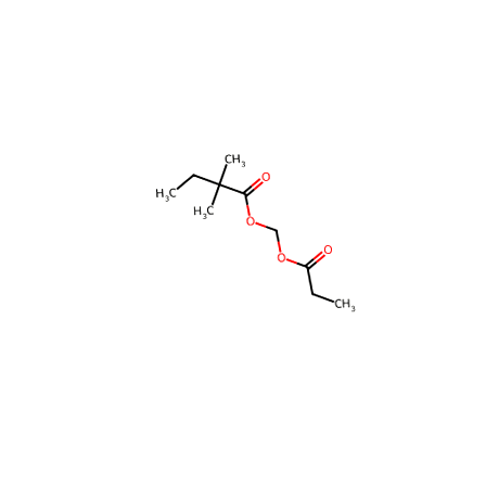 CCC(=O)OCOC(=O)C(C)(C)CC